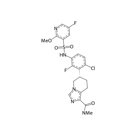 CNC(=O)c1ncn2c1CC[C@@H](c1c(Cl)ccc(NS(=O)(=O)c3cc(F)cnc3OC)c1F)C2